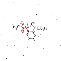 C[C@H](C(=O)O)c1ccccc1OS(C)(=O)=O